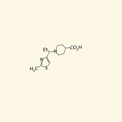 CCC(c1csc(C)n1)N1CCC(C(=O)O)CC1